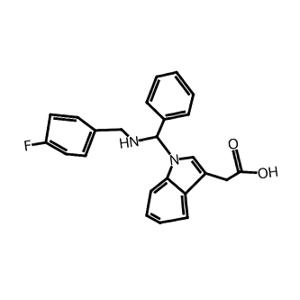 O=C(O)Cc1cn(C(NCc2ccc(F)cc2)c2ccccc2)c2ccccc12